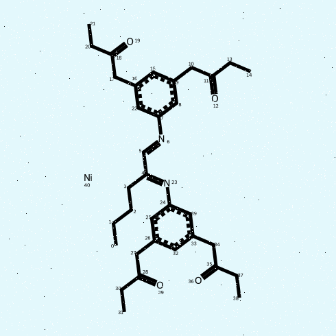 CCCCC(C=Nc1cc(CC(=O)CC)cc(CC(=O)CC)c1)=Nc1cc(CC(=O)CC)cc(CC(=O)CC)c1.[Ni]